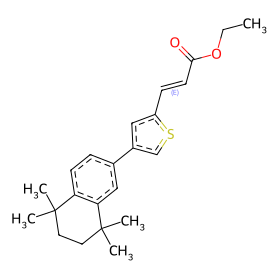 CCOC(=O)/C=C/c1cc(-c2ccc3c(c2)C(C)(C)CCC3(C)C)cs1